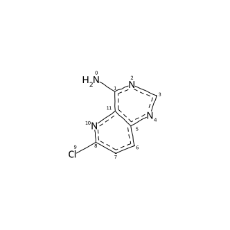 Nc1ncnc2ccc(Cl)nc12